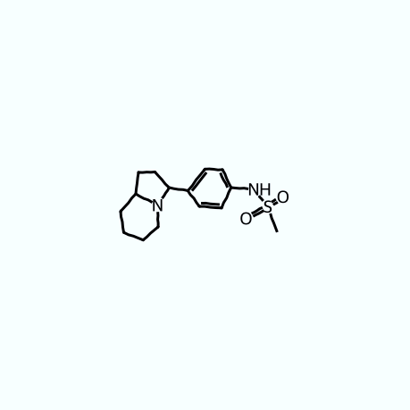 CS(=O)(=O)Nc1ccc(C2CCC3CCCCN32)cc1